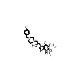 Cn1c(=O)c2c(ncn2CC(O)CN2CCCN(Cc3ccc(Cl)cc3)CC2)n(C)c1=O